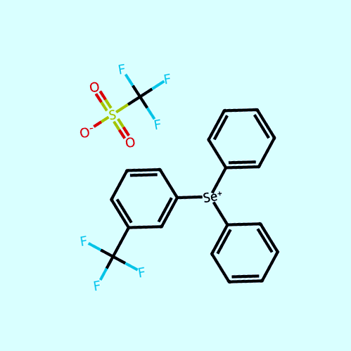 FC(F)(F)c1cccc([Se+](c2ccccc2)c2ccccc2)c1.O=S(=O)([O-])C(F)(F)F